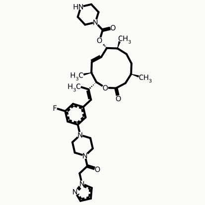 C/C(=C\c1cc(F)cc(N2CCN(C(=O)Cn3cccn3)CC2)c1)[C@H]1OC(=O)C[C@H](C)CC[C@H](C)[C@@H](OC(=O)N2CCNCC2)/C=C/[C@@H]1C